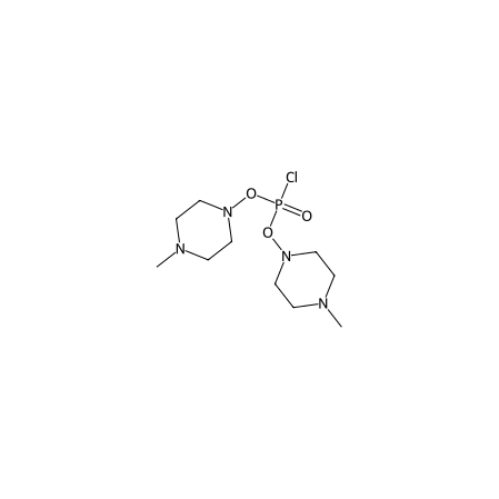 CN1CCN(OP(=O)(Cl)ON2CCN(C)CC2)CC1